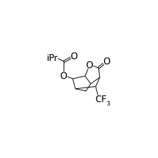 CC(C)C(=O)OC1C2CC3C1OC(=O)C3C2C(F)(F)F